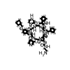 NCCNC(=O)O[C@@H]1C[C@H]2C(=O)N[C@@H](CCc3ccccc3)C(=O)N[C@H](Cc3c[nH]c4ccccc34)C(=O)N[C@@H](CN3CCNCC3)C(=O)N[C@@H](Cc3ccc(OCC4CCCCC4)cc3)C(=O)N[C@@H](Cc3cccnc3)C(=O)N2C1